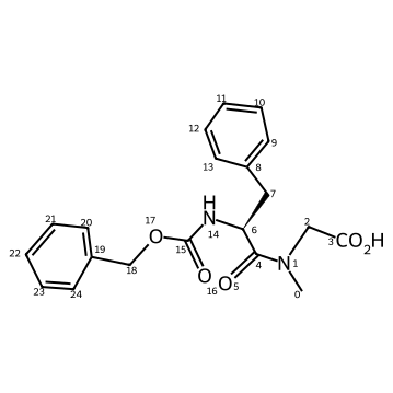 CN(CC(=O)O)C(=O)[C@H](Cc1ccccc1)NC(=O)OCc1ccccc1